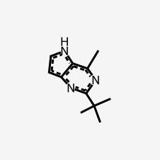 Cc1nc(C(C)(C)C)nc2cc[nH]c12